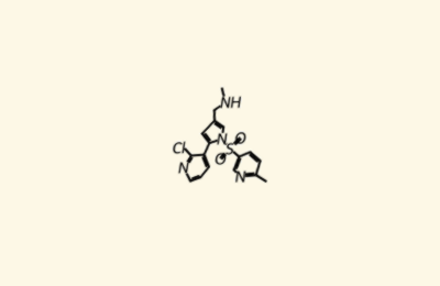 CNCc1cc(-c2cccnc2Cl)n(S(=O)(=O)c2ccc(C)nc2)c1